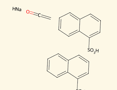 C=C=O.O=S(=O)(O)c1cccc2ccccc12.O=S(=O)(O)c1cccc2ccccc12.[NaH]